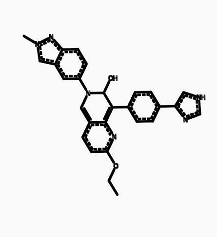 CCOc1ccc2c(n1)=C(c1ccc(-c3c[nH]cn3)cc1)C(O)N(c1ccc3nn(C)cc3c1)C=2